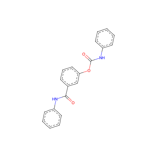 O=C(Nc1ccccc1)Oc1cccc(C(=O)Nc2ccccc2)c1